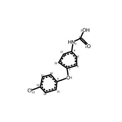 O=C(O)Nc1ccc(Oc2ccc(Cl)cc2)cc1